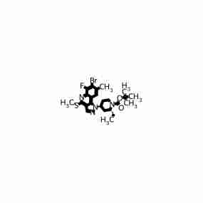 CC[C@@H]1C[C@@H](n2ncc3c(SC)nc4c(F)c(Br)c(C)cc4c32)CCN1C(=O)OC(C)(C)C